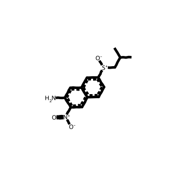 CC(C)C[S+]([O-])c1ccc2cc([N+](=O)[O-])c(N)cc2c1